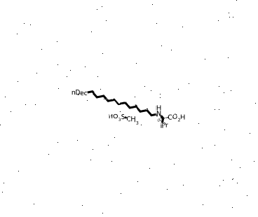 CCCCCCCCCCCCCCCCCCCCCCN[C@H](C(=O)O)C(C)C.CS(=O)(=O)O